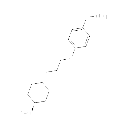 CCCCCCCOc1ccc(OCCC[C@H]2CC[C@H](CCCCC)CC2)cc1